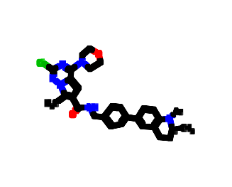 CC(=O)N1c2ccc(-c3ccc(CNC(=O)c4cc5c(N6CCOCC6)nc(Cl)nn5c4C)cc3)cc2CC[C@@H]1C